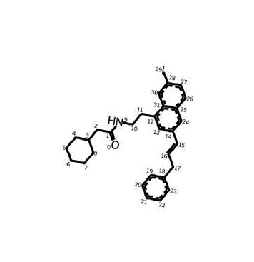 O=C(CC1CCCCC1)NCCc1cc(C=CCc2ccccc2)cc2ccc(I)cc12